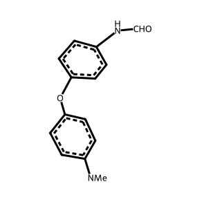 CNc1ccc(Oc2ccc(NC=O)cc2)cc1